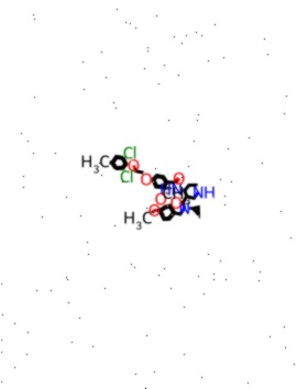 COc1ccc(CN(C(=O)C2CNCCC2NC(=O)c2ccc(OCCOc3c(Cl)cc(C)cc3Cl)cc2)C2CC2)cc1OC